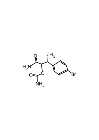 CC(c1ccc(Br)cc1)C(OC(N)=O)C(N)=O